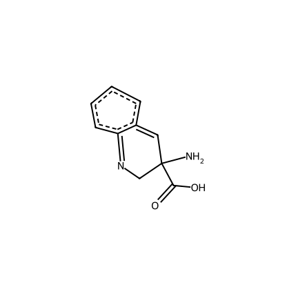 NC1(C(=O)O)C=c2ccccc2=NC1